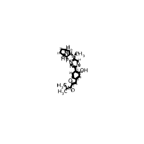 CN(C)C(=O)c1cc2cc(O)c(-c3ncc(N(C)[C@@H]4C[C@H]5CC[C@H](N5)[C@@H]4F)nn3)cc2o1